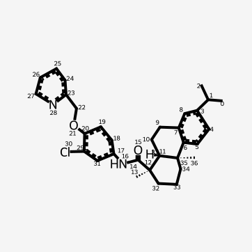 CC(C)c1ccc2c(c1)CC[C@H]1[C@](C)(C(=O)Nc3ccc(OCc4ccccn4)c(Cl)c3)CCC[C@]21C